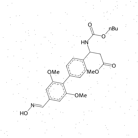 CCCCOC(=O)NC(CC(=O)OC)c1ccc(-c2c(OC)cc(C=NO)cc2OC)cc1